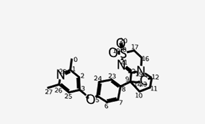 Cc1cc(Oc2ccc(C34CCC(CC3)N3CCS(=O)(=O)N=C34)cc2)cc(C)n1